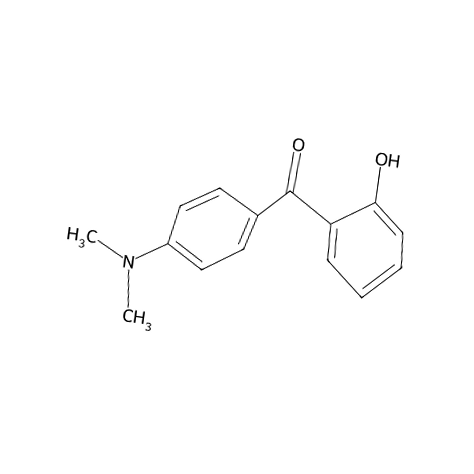 CN(C)c1ccc(C(=O)c2ccccc2O)cc1